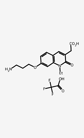 CCn1c(=O)c(CC(=O)O)cc2ccc(OCCCN)cc21.O=C(O)C(F)(F)F